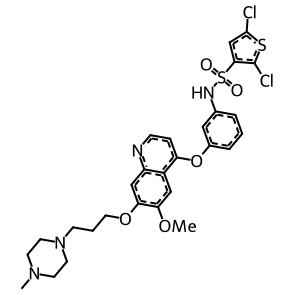 COc1cc2c(Oc3cccc(NS(=O)(=O)c4cc(Cl)sc4Cl)c3)ccnc2cc1OCCCN1CCN(C)CC1